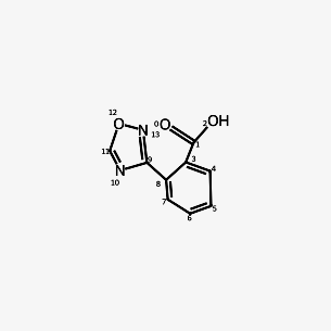 O=C(O)c1ccccc1-c1ncon1